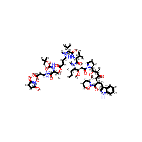 CC[C@H](C)[C@@H]([C@@H](CC(=O)N1CCC[C@H]1[C@H](OC)[C@@H](C)C(=O)C[C@@H](Cc1c[nH]c2ccccc12)C(=O)N1CCCCO1)OC)N(C)C(=O)[C@@H](NC(=O)[C@H](C(C)C)N(C)CCCC(=O)O[C@H](C)[C@H](NC(=O)OC(C)(C)C)C(=O)NCCC(=O)ON1C(=O)CCC1=O)C(C)C